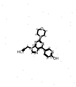 C#CCn1cnc2c(-c3ccc(O)nc3)nc(N3CCOCC3)nc21